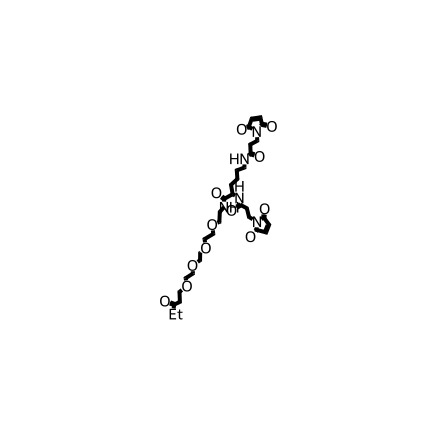 CCC(=O)CCOCCOCCOCCOCCNC(=O)C(CCCCNC(=O)CCN1C(=O)C=CC1=O)NC(=O)CCN1C(=O)C=CC1=O